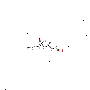 CCCCC(C)(C/C(C)=C/CO)OC